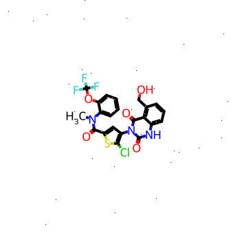 CN(C(=O)c1cc(-n2c(=O)[nH]c3cccc(CO)c3c2=O)c(Cl)s1)c1ccccc1OC(F)(F)F